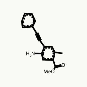 COC(=O)c1cc(N)c(C#Cc2ccccc2)cc1C